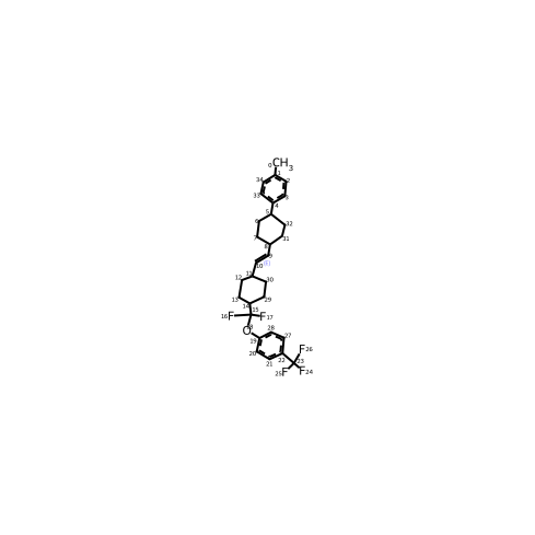 Cc1ccc(C2CCC(/C=C/C3CCC(C(F)(F)Oc4ccc(C(F)(F)F)cc4)CC3)CC2)cc1